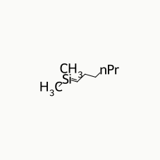 CCCCCC=[Si](C)C